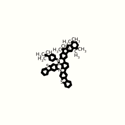 CC(C)(C)c1ccc(N2B3c4cc5sc6ccccc6c5cc4-n4c5cc6sc7ccccc7c6cc5c5ccc(c3c54)-c3cc4c(cc32)C(C)(C)c2cc3c(cc2-4)C(C)(C)CCC3(C)C)cc1